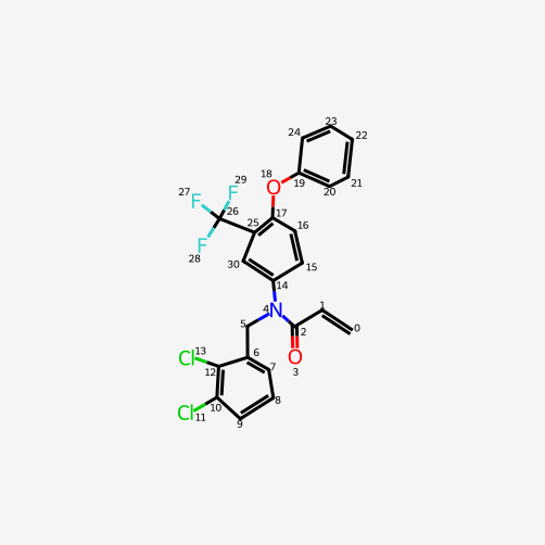 C=CC(=O)N(Cc1cccc(Cl)c1Cl)c1ccc(Oc2ccccc2)c(C(F)(F)F)c1